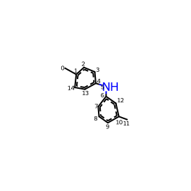 Cc1ccc(Nc2cccc(C)c2)cc1